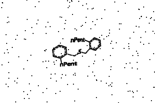 CCCCCc1ccccc1CSCc1ccccc1CCCCC